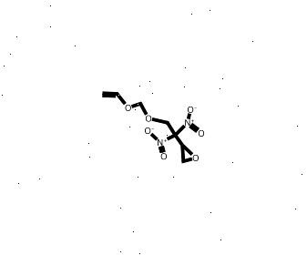 C=COCOCC(C1CO1)([N+](=O)[O-])[N+](=O)[O-]